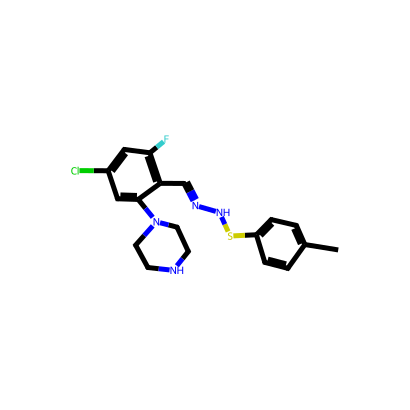 Cc1ccc(SN/N=C/c2c(F)cc(Cl)cc2N2CCNCC2)cc1